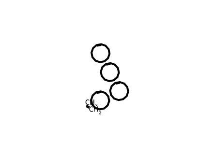 C1=CCCCCCCCCCC1.C1=CCCCCCCCCCC1.C1=CCCCCCCCCCC1.C1=CCCCCCCCCCC1.C=CC